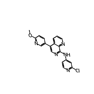 COc1ccc(-c2cnc(Nc3ccnc(Cl)c3)c3ncccc23)cn1